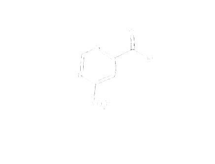 CCC(=O)c1cc(C(=O)O)ncn1